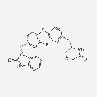 O=C1COCC(Cc2ccc(Oc3ccc(/C=C4/C(=O)Nc5ccccc54)cc3F)cc2)N1